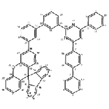 c1ccc(-c2ccc(-c3cc(-c4ccccc4)nc(-c4cccc(-c5cccc(-c6ccc7c(c6)Oc6ccccc6C76c7ccccc7-c7ccccc76)c5)c4)n3)cc2)cc1